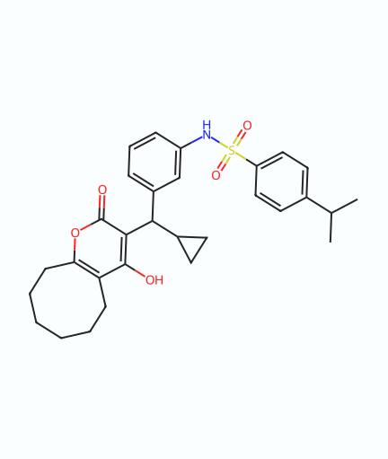 CC(C)c1ccc(S(=O)(=O)Nc2cccc(C(c3c(O)c4c(oc3=O)CCCCCC4)C3CC3)c2)cc1